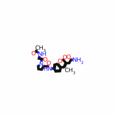 CC(=O)NCC(=O)N1CCCC1C(=O)Nc1ccc2c(C)c(CC(N)=O)c(=O)oc2c1